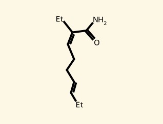 CCC=CCCC=C(CC)C(N)=O